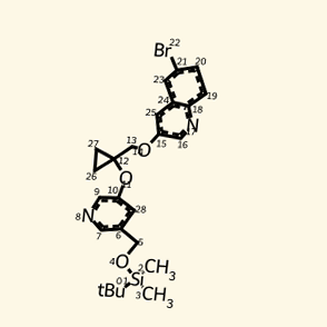 CC(C)(C)[Si](C)(C)OCc1cncc(OC2(COc3cnc4ccc(Br)cc4c3)CC2)c1